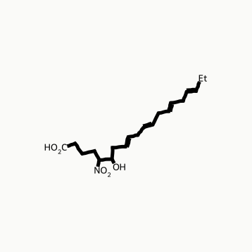 CCC=CCC=CCC=CCC=CCC(O)C(CCCC(=O)O)[N+](=O)[O-]